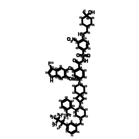 [2H]C([2H])([2H])C(F)(F)c1cc(CN2CCN(C3CC4(CCN(c5ccc(C(=O)NS(=O)(=O)c6cnc(NCC7CCC(C)(O)CC7)c([N+](=O)[O-])c6)c(Oc6cc7c(F)c[nH]c7nc6OC)c5)CC4)C3)[C@H](c3ccccc3C(C)C)C2)ccn1